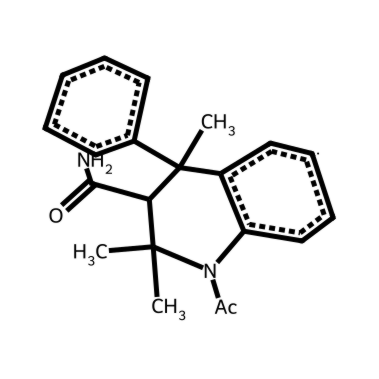 CC(=O)N1c2cc[c]cc2C(C)(c2ccccc2)C(C(N)=O)C1(C)C